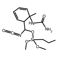 CCC[Si](OC)(OC)OC(N=C=O)C1C=CC=CC1(C)NC(N)=O